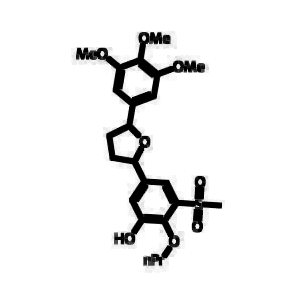 CCCOc1c(O)cc(C2CCC(c3cc(OC)c(OC)c(OC)c3)O2)cc1S(C)(=O)=O